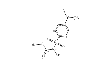 CC(O)c1ccc(S(=O)(=O)N(C)C(=O)OC(C)(C)C)cc1